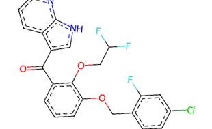 O=C(c1cccc(OCc2ccc(Cl)cc2F)c1OCC(F)F)c1c[nH]c2ncccc12